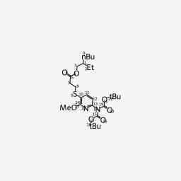 CCCCC(CC)COC(=O)CCSc1ccc(N(C(=O)OC(C)(C)C)C(=O)OC(C)(C)C)nc1OC